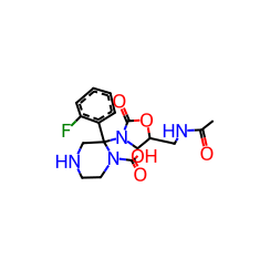 CC(=O)NCC1CN(C2(c3ccccc3F)CNCCN2C(=O)O)C(=O)O1